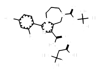 Cc1ccc(-c2nc(C(=O)N[C@H](C(=O)O)C(C)(C)C)c3n2CCCN(C(=O)OC(C)(C)C)C3)c(F)c1